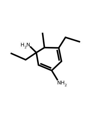 CCC1=CC(N)=CC(N)(CC)C1C